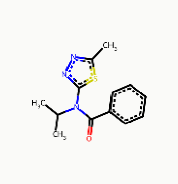 Cc1nnc(N(C(=O)c2ccccc2)C(C)C)s1